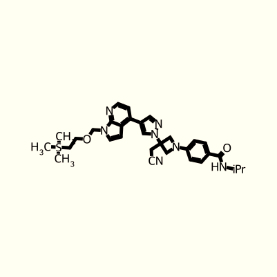 CC(C)NC(=O)c1ccc(N2CC(CC#N)(n3cc(-c4ccnc5c4ccn5COCCS(C)(C)C)cn3)C2)cc1